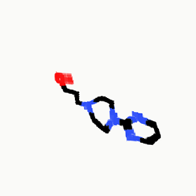 OCCCN1CCN(c2ncccn2)CC1